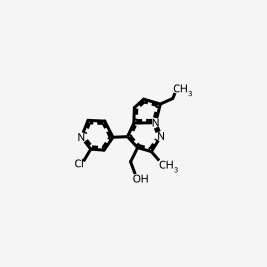 CCc1ccc2c(-c3ccnc(Cl)c3)c(CO)c(C)nn12